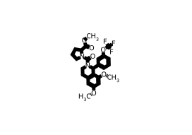 COC(=O)C1CCCN1C(=O)N1CCc2cc(OC)cc(OC)c2C1c1cccc(OC(F)(F)F)c1